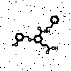 COc1cccc(COc2cc(/C=C/C(=O)O)cc(C(=O)NCCc3ccccc3)c2)c1